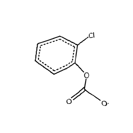 [O]C(=O)Oc1ccccc1Cl